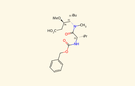 CC[C@H](C)[C@@H]([C@@H](CC(=O)O)OC)N(C)C(=O)[C@@H](NC(=O)OCc1ccccc1)C(C)C